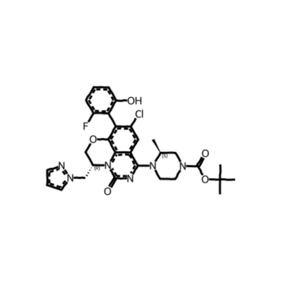 C[C@H]1CN(C(=O)OC(C)(C)C)CCN1c1nc(=O)n2c3c(c(-c4c(O)cccc4F)c(Cl)cc13)OC[C@H]2Cn1cccn1